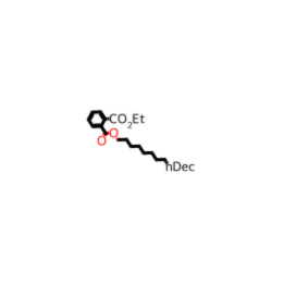 CCCCCCCCCCCCCCCCCCOC(=O)c1ccccc1C(=O)OCC